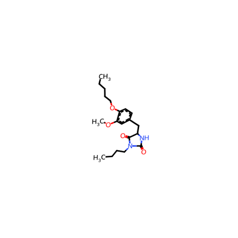 CCCCCOc1ccc(CC2NC(=O)N(CCCC)C2=O)cc1OC